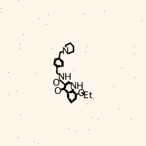 CCOc1cccc2c(=O)c(C(=O)NCc3ccc(CN4CCCCC4)cc3)c[nH]c12